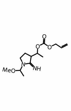 C=CCOC(=O)OC(C)C1CCN(C(C)OC)C1=N